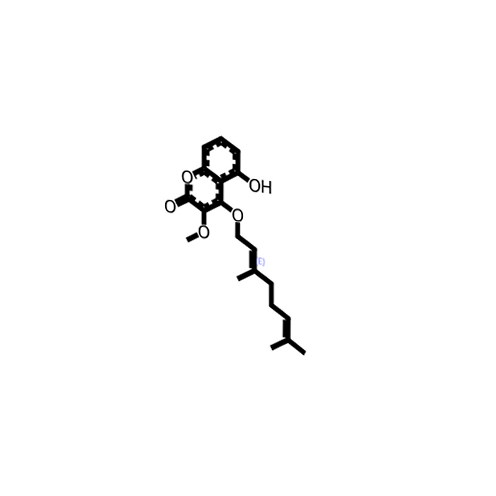 COc1c(OC/C=C(\C)CCC=C(C)C)c2c(O)cccc2oc1=O